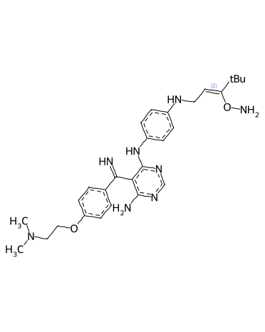 CN(C)CCOc1ccc(C(=N)c2c(N)ncnc2Nc2ccc(NC/C=C(\ON)C(C)(C)C)cc2)cc1